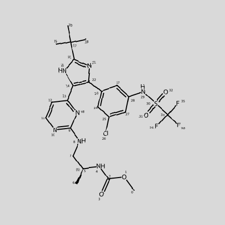 COC(=O)N[C@@H](C)CNc1nccc(-c2[nH]c(C(C)(C)C)nc2-c2cc(Cl)cc(NS(=O)(=O)C(F)(F)F)c2)n1